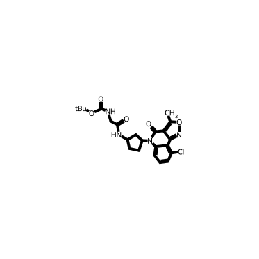 Cc1onc2c1c(=O)n(C1CCC(NC(=O)CNC(=O)OC(C)(C)C)C1)c1cccc(Cl)c21